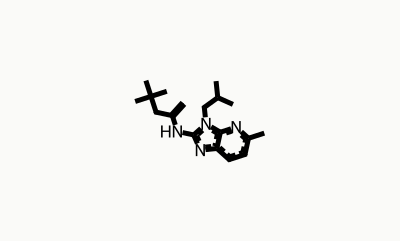 C=C(CC(C)(C)C)Nc1nc2ccc(C)nc2n1CC(C)C